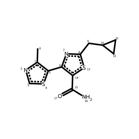 Cc1n[c]sc1-c1nc(CC2CC2)sc1C(N)=O